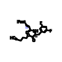 C#CCCCOC(=O)[C@H](Cc1cc(F)cc(F)c1)NC(=O)/C=C/C(C)CCC